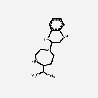 CC(C)C1CCN(C2CNc3ccccc3N2)CCN1